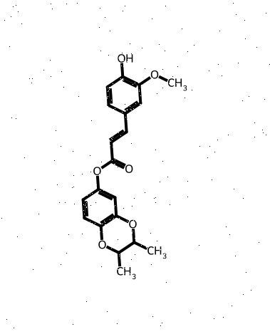 COc1cc(/C=C/C(=O)Oc2ccc3c(c2)OC(C)C(C)O3)ccc1O